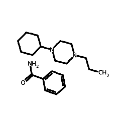 CCCN1CCN(C2CCCCC2)CC1.NC(=O)c1ccccc1